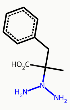 CC(Cc1ccccc1)(C(=O)O)N(N)N